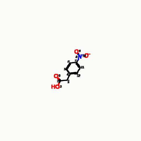 O=C(O)[CH]c1ccc([N+](=O)[O-])cc1